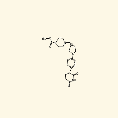 CC(C)(C)OC(=O)N1CCN(C[C@H]2CCN(c3ccc(N4CCC(=O)NC4=O)cc3)C2)CC1